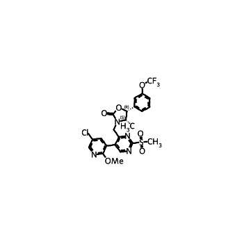 COc1ncc(Cl)cc1-c1cnc(S(C)(=O)=O)nc1CN1C(=O)O[C@H](c2cccc(OC(F)(F)F)c2)[C@@H]1C